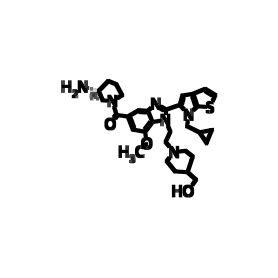 COc1cc(C(=O)N2CCC[C@@H](N)C2)cc2nc(-c3cc4ccsc4n3CC3CC3)n(CCN3CCC(CO)CC3)c12